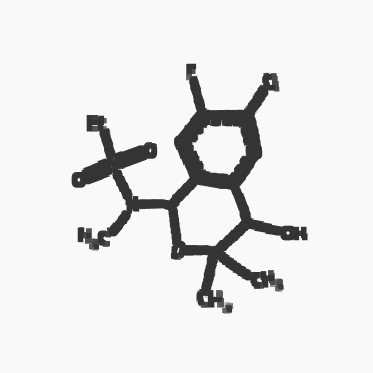 CCS(=O)(=O)N(C)C1OC(C)(C)C(O)c2cc(Cl)c(F)cc21